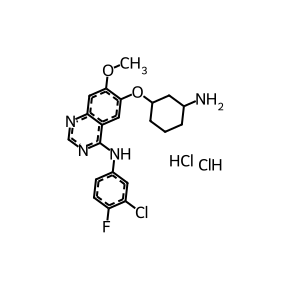 COc1cc2ncnc(Nc3ccc(F)c(Cl)c3)c2cc1OC1CCCC(N)C1.Cl.Cl